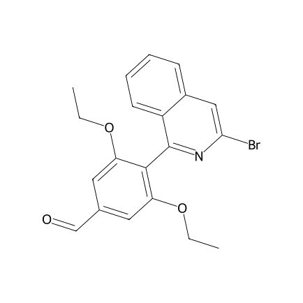 CCOc1cc(C=O)cc(OCC)c1-c1nc(Br)cc2ccccc12